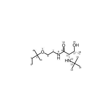 CCC(C)(C)OCCNC(=O)[C@@H](NC(C)(C)C)[C@@H](C)O